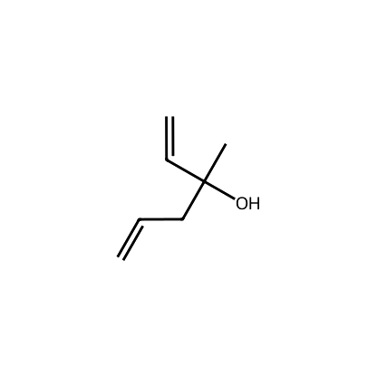 C=CCC(C)(O)C=C